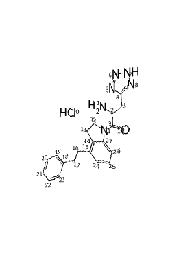 Cl.NC(Cc1nn[nH]n1)C(=O)N1CCc2c(CCc3ccccc3)cccc21